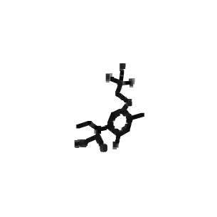 CCN(C(=O)O)c1cc(SCC(F)(F)F)c(C)cc1F